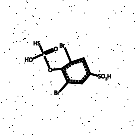 O=P(O)(S)Oc1c(Br)cc(S(=O)(=O)O)cc1Br